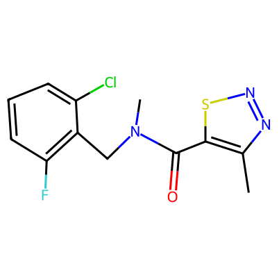 Cc1nnsc1C(=O)N(C)Cc1c(F)cccc1Cl